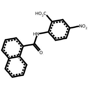 O=C(O)c1cc([N+](=O)[O-])ccc1NC(=O)c1cccc2ccccc12